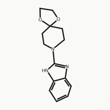 c1ccc2[nH]c(N3CCC4(CC3)OCCO4)nc2c1